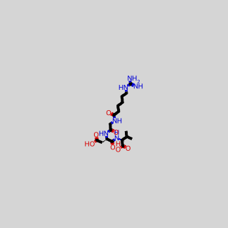 CC(C)[C@H](NC(=O)[C@H](CC(=O)O)NC(=O)CNC(=O)CCCCCNC(=N)N)C(=O)O